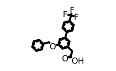 O=C(O)Cc1cc(OCc2ccccc2)cc(-c2ccc(C(F)(F)F)cc2)c1